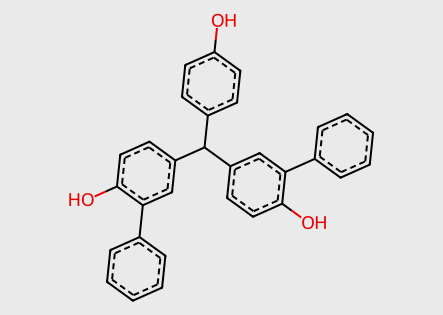 Oc1ccc(C(c2ccc(O)c(-c3ccccc3)c2)c2ccc(O)c(-c3ccccc3)c2)cc1